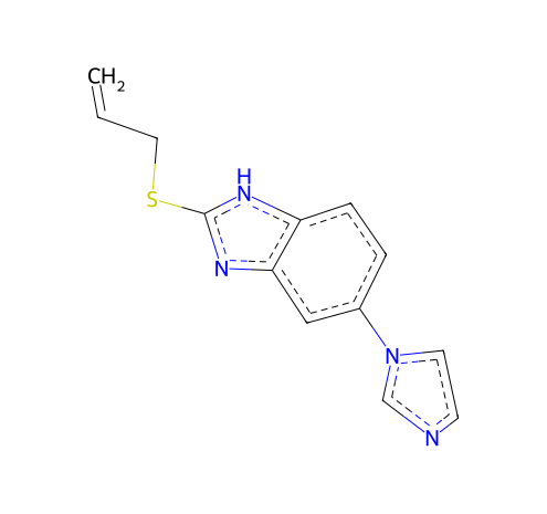 C=CCSc1nc2cc(-n3ccnc3)ccc2[nH]1